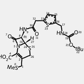 CSCC1=C(C(=O)O)N2C(=O)[C@@H](NC(=O)Cc3ccc(CNC(=O)OC(C)(C)C)s3)[C@@H]2SC1